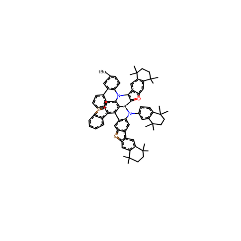 CC(C)(C)c1ccc(N2c3cc4sc5ccccc5c4c4c3B(c3oc5cc6c(cc5c32)C(C)(C)CCC6(C)C)N(c2ccc3c(c2)C(C)(C)CCC3(C)C)c2cc3c(cc2-4)sc2cc4c(cc23)C(C)(C)CCC4(C)C)c(-c2ccccc2)c1